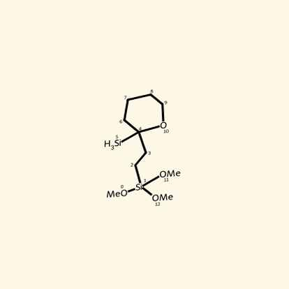 CO[Si](CCC1([SiH3])CCCCO1)(OC)OC